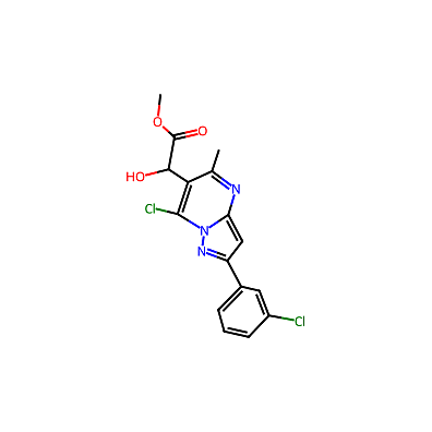 COC(=O)C(O)c1c(C)nc2cc(-c3cccc(Cl)c3)nn2c1Cl